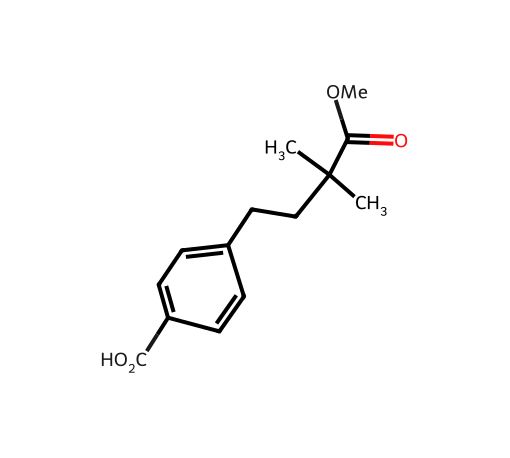 COC(=O)C(C)(C)CCc1ccc(C(=O)O)cc1